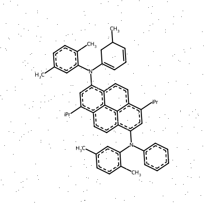 Cc1ccc(C)c(N(C2=CC=CC(C)C2)c2cc(C(C)C)c3ccc4c(N(c5ccccc5)c5cc(C)ccc5C)cc(C(C)C)c5ccc2c3c54)c1